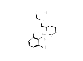 O=C(O)COCC1CCCCN1S(=O)(=O)c1c(Cl)cccc1Cl